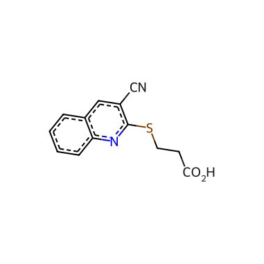 N#Cc1cc2ccccc2nc1SCCC(=O)O